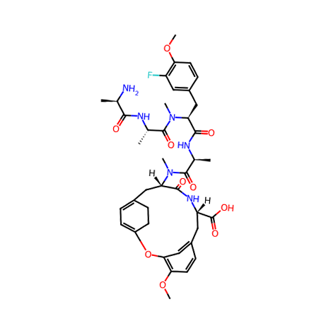 COc1ccc(C[C@@H](C(=O)N[C@@H](C)C(=O)N(C)[C@H]2CC3=CC=C(CC3)Oc3cc(ccc3OC)C[C@@H](C(=O)O)NC2=O)N(C)C(=O)[C@H](C)NC(=O)[C@@H](C)N)cc1F